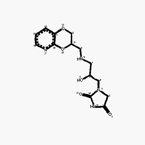 O=C1CN(CC(O)CNCC2COc3cccnc3O2)C(=O)N1